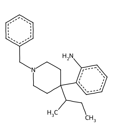 CCC(C)C1(c2ccccc2N)CCN(Cc2ccccc2)CC1